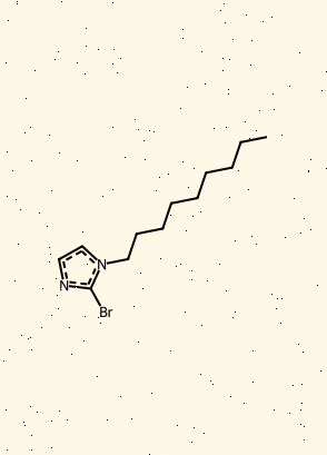 CCCCCCCCCn1ccnc1Br